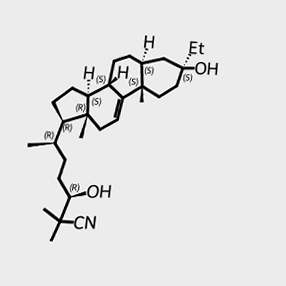 CC[C@]1(O)CC[C@]2(C)C3=CC[C@]4(C)[C@@H]([C@H](C)CC[C@@H](O)C(C)(C)C#N)CC[C@H]4[C@@H]3CC[C@H]2C1